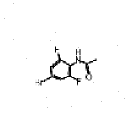 CC(=O)Nc1c(F)cc(Br)cc1F